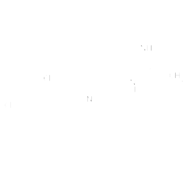 C=C1NC=C(Cn2ccc3ccc(Cl)c(Cl)c32)N1